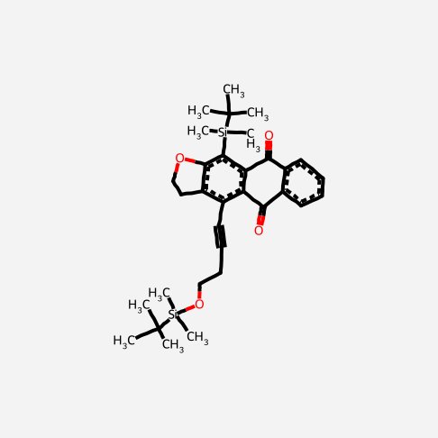 CC(C)(C)[Si](C)(C)OCCC#Cc1c2c(c([Si](C)(C)C(C)(C)C)c3c1C(=O)c1ccccc1C3=O)OCC2